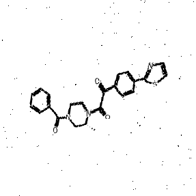 C[C@@H]1CN(C(=O)c2ccccc2)CCN1C(=O)C(=O)c1ccc(-c2nccs2)cc1